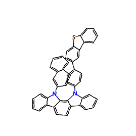 c1ccc2cc(-n3c4ccccc4c4ccc5c6ccccc6n(-c6ccc(-c7ccc8sc9ccccc9c8c7)cc6)c5c43)ccc2c1